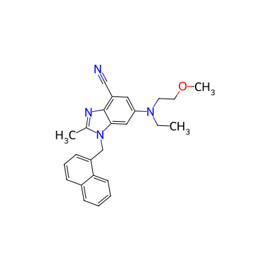 CCN(CCOC)c1cc(C#N)c2nc(C)n(Cc3cccc4ccccc34)c2c1